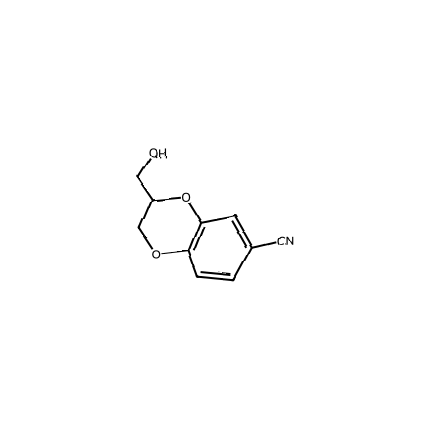 N#Cc1ccc2c(c1)OC(CO)CO2